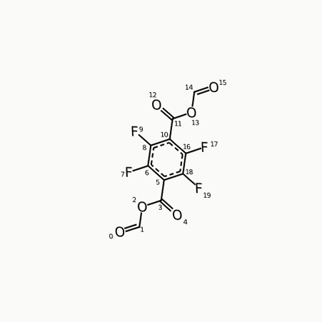 O=COC(=O)c1c(F)c(F)c(C(=O)OC=O)c(F)c1F